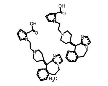 O.O=C(O)c1cccn1CCN1CCC(=C2c3ccccc3CCn3ccnc32)CC1.O=C(O)c1cccn1CCN1CCC(=C2c3ccccc3CCn3ccnc32)CC1